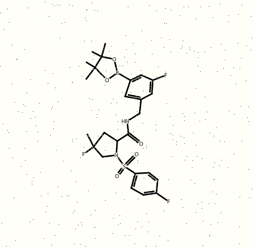 CC1(F)CC(C(=O)NCc2cc(F)cc(B3OC(C)(C)C(C)(C)O3)c2)N(S(=O)(=O)c2ccc(F)cc2)C1